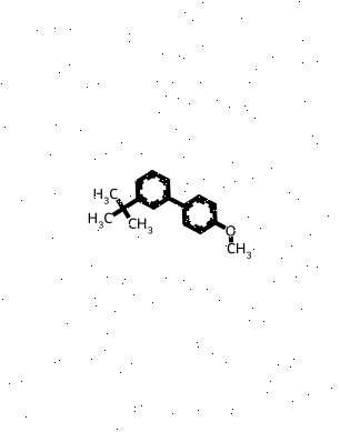 COc1ccc(-c2cccc(C(C)(C)C)c2)cc1